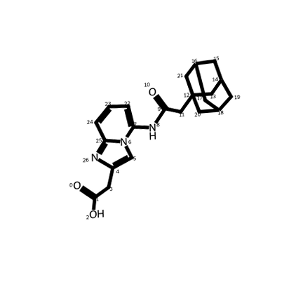 O=C(O)Cc1cn2c(NC(=O)CC34CC5CC(CC(C5)C3)C4)cccc2n1